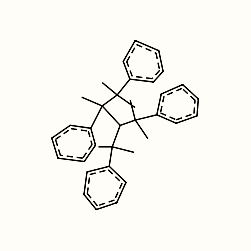 CC(C)(c1ccccc1)C(C(C)(C)c1ccccc1)C(C)(c1ccccc1)C(C)(C)c1ccccc1